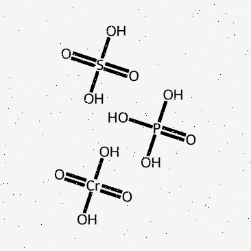 O=P(O)(O)O.O=S(=O)(O)O.[O]=[Cr](=[O])([OH])[OH]